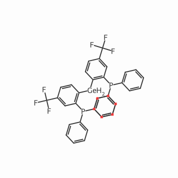 FC(F)(F)c1cc[c]([GeH2][c]2ccc(C(F)(F)F)cc2P(c2ccccc2)c2ccccc2)c(P(c2ccccc2)c2ccccc2)c1